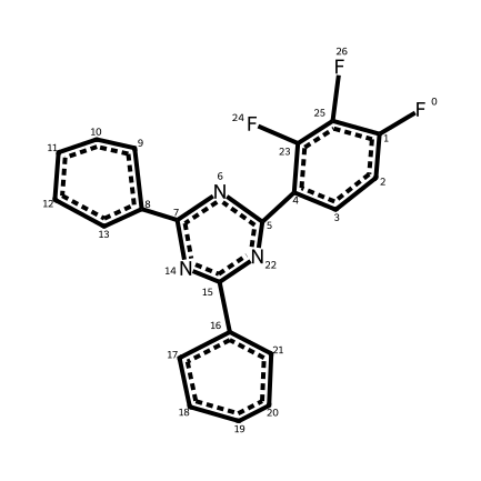 Fc1ccc(-c2nc(-c3ccccc3)nc(-c3ccccc3)n2)c(F)c1F